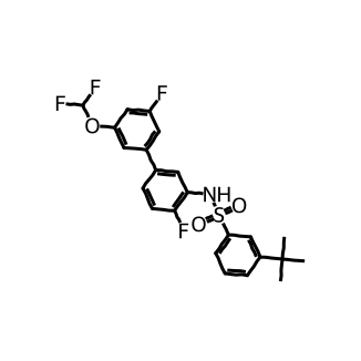 CC(C)(C)c1cccc(S(=O)(=O)Nc2cc(-c3cc(F)cc(OC(F)F)c3)ccc2F)c1